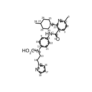 Cc1ccc(C(=O)Nc2ccc(N(CCn3cccn3)C(=O)O)cc2)c(N2CCC(C)CC2)n1